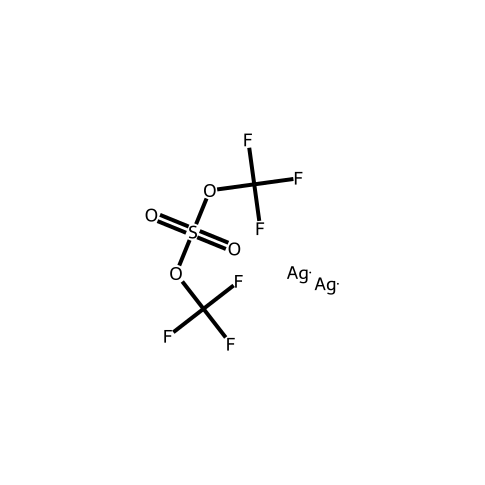 O=S(=O)(OC(F)(F)F)OC(F)(F)F.[Ag].[Ag]